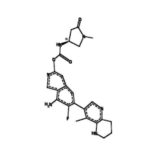 Cc1c(-c2cc3cc(OC(=O)N[C@H]4CC(=O)N(C)C4)ncc3c(N)c2F)cnc2c1NCCC2